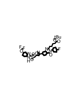 CC(C)(C)OC(=O)CCCCc1nc2cc(-c3cc(CS(=O)(=O)c4nc5cc(OC(F)F)ccc5[nH]4)on3)ccc2c(=O)n1-c1ccc(F)cc1